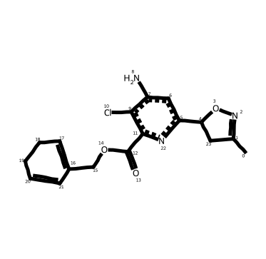 CC1=NOC(c2cc(N)c(Cl)c(C(=O)OCC3=CCCC=C3)n2)C1